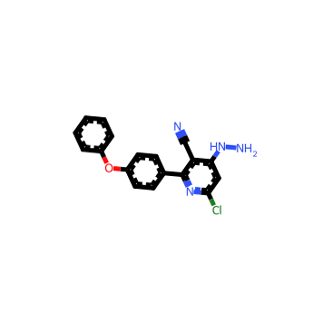 N#Cc1c(NN)cc(Cl)nc1-c1ccc(Oc2ccccc2)cc1